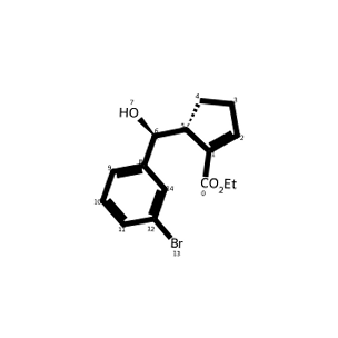 CCOC(=O)C1=CCC[C@H]1[C@H](O)c1cccc(Br)c1